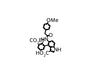 CCOC(=O)c1ccccc1-c1c(NC(=O)Cc2ccc(OC)cc2)ccc2[nH]cc(C(=O)O)c12